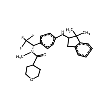 CN(C(=O)C1CCOCC1)[C@@H](c1ccc(NC2Cc3ccccc3C2(C)C)cc1)C(F)(F)F